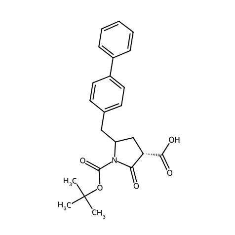 CC(C)(C)OC(=O)N1C(=O)[C@@H](C(=O)O)CC1Cc1ccc(-c2ccccc2)cc1